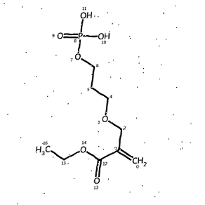 C=C(COCCCOP(=O)(O)O)C(=O)OCC